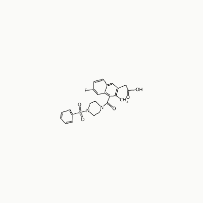 Cc1c(CC(=O)O)cc2ccc(F)cc2c1C(=O)N1CCN(S(=O)(=O)c2ccccc2)CC1